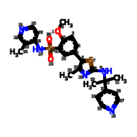 COc1ccc(-c2sc(NC(C)(C)c3ccncc3)nc2C)cc1S(=O)(=O)Nc1ccncc1C